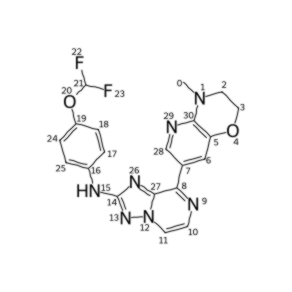 CN1CCOc2cc(-c3nccn4nc(Nc5ccc(OC(F)F)cc5)nc34)cnc21